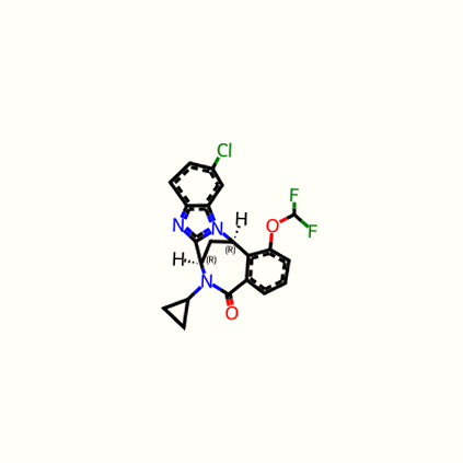 O=C1c2cccc(OC(F)F)c2[C@H]2C[C@H](c3nc4ccc(Cl)cc4n32)N1C1CC1